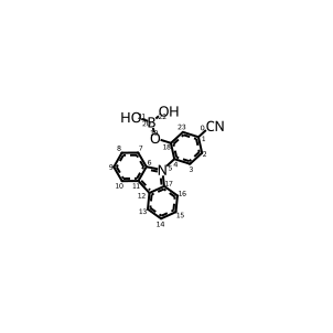 N#Cc1ccc(-n2c3ccccc3c3ccccc32)c(OB(O)O)c1